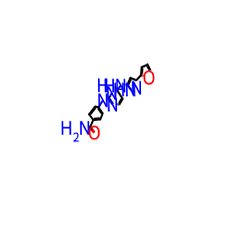 NC(=O)c1ccc(Nc2nccc(Nc3cc(-c4ccco4)n[nH]3)n2)cc1